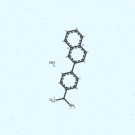 CC(N)c1ccc(-c2ccc3ccccc3c2)cc1.Cl